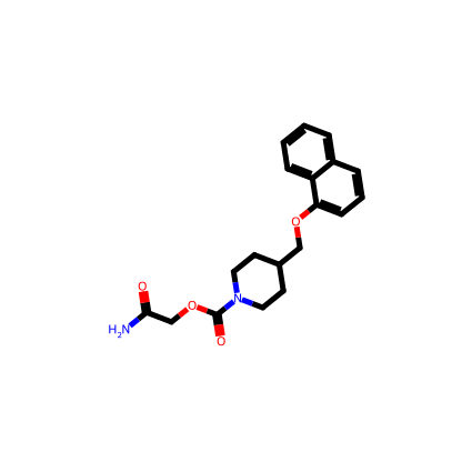 NC(=O)COC(=O)N1CCC(COc2cccc3ccccc23)CC1